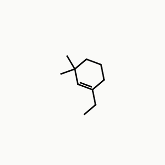 CCC1=CC(C)(C)CCC1